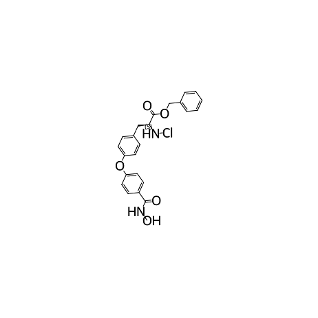 O=C(NO)c1ccc(Oc2ccc(C[C@H](NCl)C(=O)OCc3ccccc3)cc2)cc1